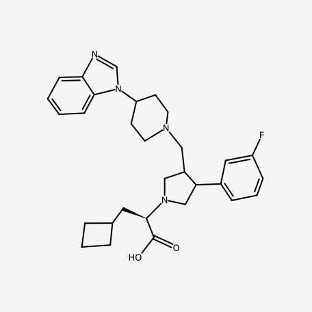 O=C(O)[C@@H](CC1CCC1)N1CC(CN2CCC(n3cnc4ccccc43)CC2)C(c2cccc(F)c2)C1